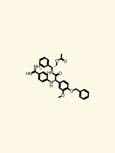 COc1cc([C@@H](Nc2ccc(C(=N)N)cc2)C(=O)N[C@@H](COC(C)=O)c2ccccc2)ccc1OCc1ccccc1